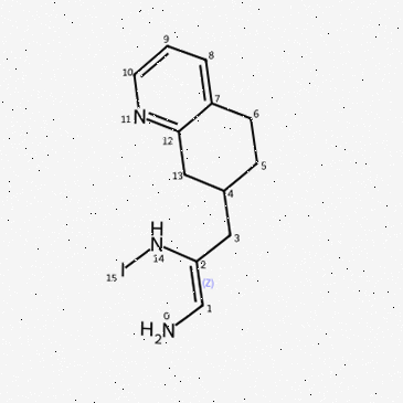 N/C=C(/CC1CCc2cccnc2C1)NI